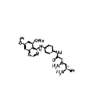 COc1cc(OC(C)C)cc2ncnc(Nc3ccc(NC(=O)CN(N)/C=C(\N)C(C)C)cc3)c12